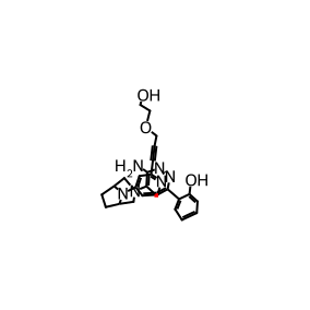 Nc1nnc(-c2ccccc2O)cc1N1CC2CCC(C1)N2c1ccnc(C#CCOCCO)c1